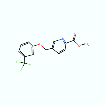 COC(=O)c1ccc(COc2cccc(C(F)(F)F)c2)cn1